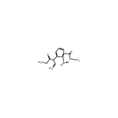 C=CC(C(=O)CC)c1cccc(C(=O)OC)c1[N+](=O)[O-]